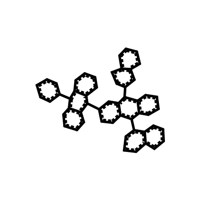 c1ccc(-c2c3ccccc3c(-c3ccc4c(-c5cccc6ccccc56)c5ccccc5c(-c5ccc6ccccc6c5)c4c3)c3ccccc23)cc1